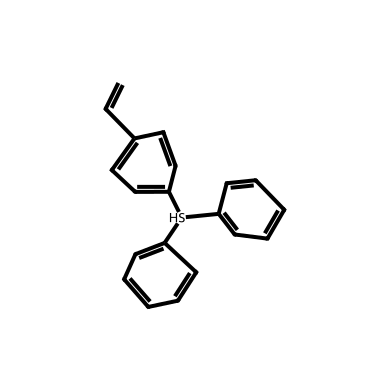 C=Cc1ccc([SH](c2ccccc2)c2ccccc2)cc1